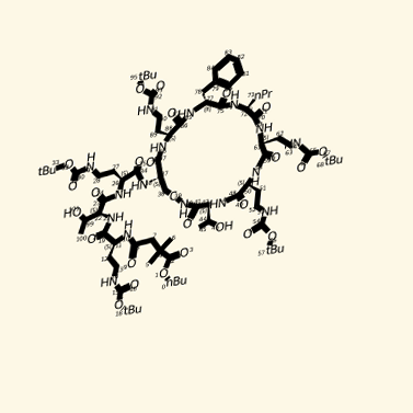 CCCCOC(=O)C(C)(C)CC(=O)N[C@@H](CCNC(=O)OC(C)(C)C)C(=O)N[C@H](C(=O)N[C@@H](CCNC(=O)OC(C)(C)C)C(=O)N[C@H]1CCNC(=O)[C@H](C(C)O)NC(=O)[C@H](CCNC(=O)OC(C)(C)C)NC(=O)[C@H](CCNC(=O)OC(C)(C)C)NC(=O)[C@H](CCC)NC(=O)[C@@H](Cc2ccccc2)NC(=O)[C@H](CCNC(=O)OC(C)(C)C)NC1=O)C(C)O